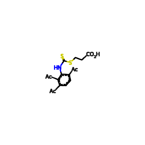 CC(=O)c1ccc(C(C)=O)c(C(C)=O)c1NC(=S)SCCC(=O)O